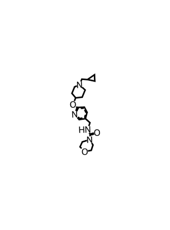 O=C(NCc1ccc(OC2CCN(CC3CC3)CC2)nc1)N1CCOCC1